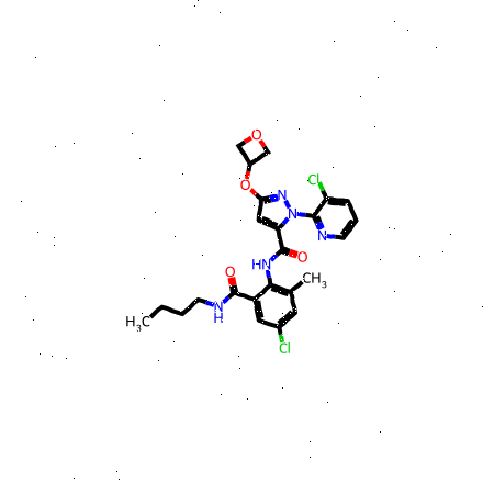 CCCCNC(=O)c1cc(Cl)cc(C)c1NC(=O)c1cc(OC2COC2)nn1-c1ncccc1Cl